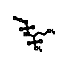 CCCC(NS(=O)(=O)N=C=O)S(C)(=O)=O